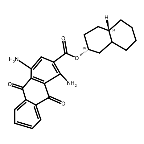 Nc1cc(C(=O)O[C@@H]2CC[C@@H]3CCCCC3C2)c(N)c2c1C(=O)c1ccccc1C2=O